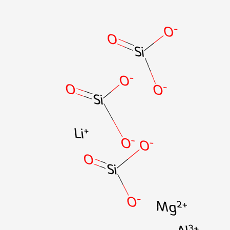 O=[Si]([O-])[O-].O=[Si]([O-])[O-].O=[Si]([O-])[O-].[Al+3].[Li+].[Mg+2]